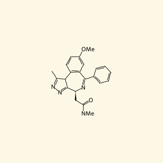 CNC(=O)C[C@@H]1N=C(c2ccccc2)c2cc(OC)ccc2C2C(C)=NN=C21